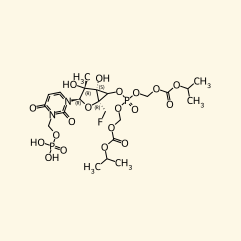 CC(C)OC(=O)OCOP(=O)(OCOC(=O)OC(C)C)OC1[C@]2(O)[C@@](C)(O)[C@H](n3ccc(=O)n(COP(=O)(O)O)c3=O)O[C@]12CF